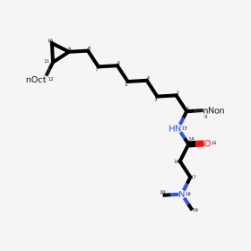 CCCCCCCCCC(CCCCCCCC1CC1CCCCCCCC)NC(=O)CCN(C)C